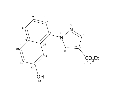 CCOC(=O)c1cnn(-c2cccc3ccc(O)cc23)c1